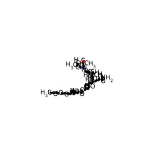 CCCOCCOCCOCCn1cc(CNC(=O)OCc2ccc(NC(=O)[C@H](CCCNC(N)=O)NC(=O)[C@@H](NC(=O)CO/N=C(\CSC(C)C)CSC(C)(C)C)C(C)C)cc2)nn1